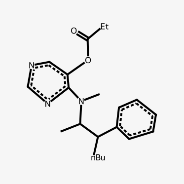 CCCCC(c1ccccc1)C(C)N(C)c1ncncc1OC(=O)CC